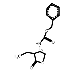 CCC1C(=O)OC[C@H]1NC(=O)OCc1ccccc1